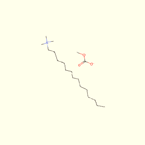 CCCCCCCCCCCCCC[N+](C)(C)C.COC(=O)[O-]